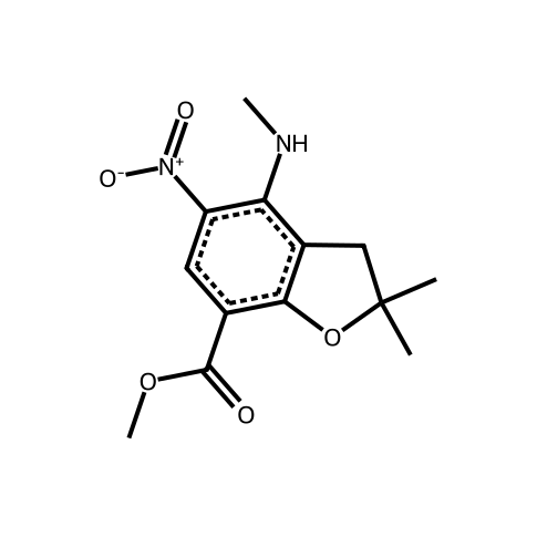 CNc1c([N+](=O)[O-])cc(C(=O)OC)c2c1CC(C)(C)O2